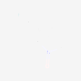 CC12CC3CC(CC(F)(C3)C1)[N+]2=O